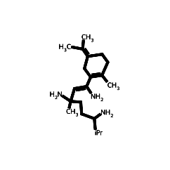 CC(C)=C1CCC(C)=C(C(N)=CC(C)(N)CCC(N)C(C)C)C1